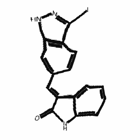 O=C1Nc2ccccc2/C1=C\c1ccc2c(I)n[nH]c2c1